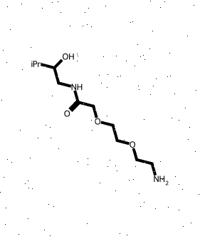 CC(C)C(O)CNC(=O)COCCOCCN